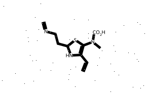 C=CC1=C(N(C)C(=O)O)SC(CCN=C)N1